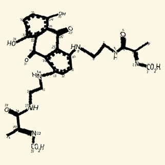 CC(=NC(=O)O)C(=O)NCCNc1ccc(NCCNC(=O)C(C)=NC(=O)O)c2c1C(=O)c1c(O)ccc(O)c1C2=O